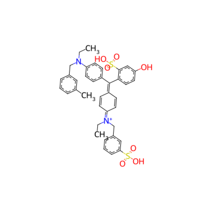 CCN(Cc1cccc(C)c1)c1ccc(C(=C2C=CC(=[N+](CC)Cc3cccc(S(=O)(=O)O)c3)C=C2)c2ccc(O)cc2S(=O)(=O)O)cc1